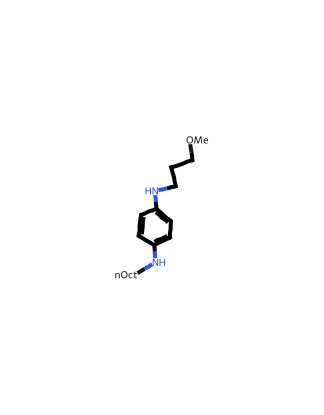 CCCCCCCCNc1ccc(NCCCOC)cc1